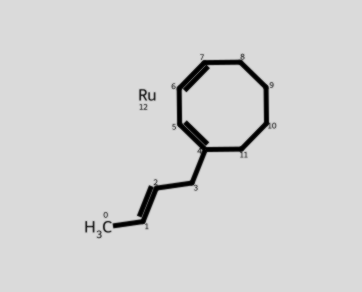 CC=CCC1=CC=CCCCC1.[Ru]